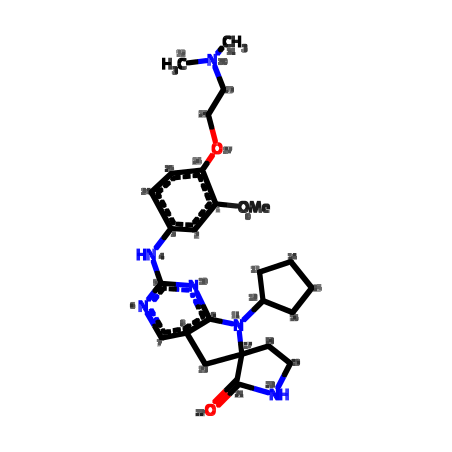 COc1cc(Nc2ncc3c(n2)N(C2CCCC2)C2(CCNC2=O)C3)ccc1OCCN(C)C